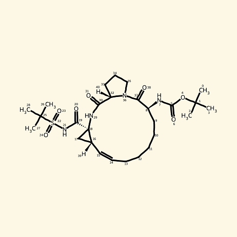 CC(C)(C)OC(=O)N[C@H]1CCCCC/C=C\[C@@H]2C[C@@]2(C(=O)NS(=O)(=O)C(C)(C)C)NC(=O)[C@@H]2CCCN2C1=O